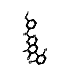 Cn1c(=O)c(-c2c(Cl)cccc2Cl)cc2cnc(Nc3cccc(SI)c3)nc21